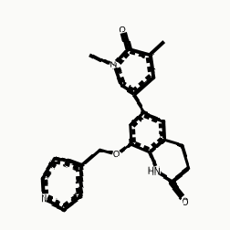 Cc1cc(-c2cc3c(c(OCc4ccncc4)c2)NC(=O)CC3)cn(C)c1=O